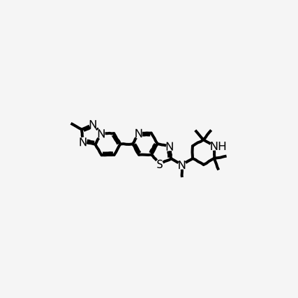 Cc1nc2ccc(-c3cc4sc(N(C)C5CC(C)(C)NC(C)(C)C5)nc4cn3)cn2n1